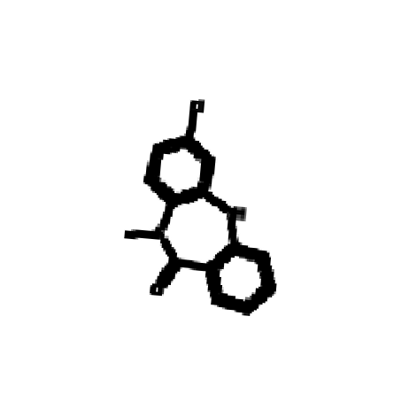 CN1C(=O)c2ccccc2Nc2cc(Cl)ccc21